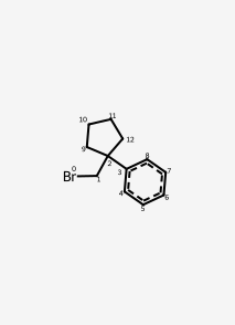 BrCC1(c2ccccc2)CCCC1